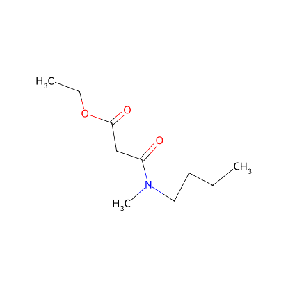 CCCCN(C)C(=O)CC(=O)OCC